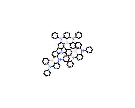 c1ccc(N2c3ccccc3B3c4cc5c6c7c(cc8c9ccc%10c(c9n(c5cc4N(c4ccccc4)c4cccc2c43)c86)N(c2ccccc2)c2cccc3c2B%10c2ccccc2N3c2ccccc2)N(c2ccccc2)c2cccc3c2B7c2ccccc2N3c2ccccc2)cc1